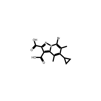 Cc1c(C2CC2)c(C)c2c(C(=O)O)c(C(=O)O)nn2c1Br